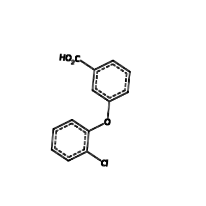 O=C(O)c1cccc(Oc2ccccc2Cl)c1